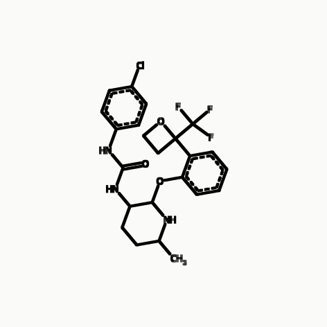 CC1CCC(NC(=O)Nc2ccc(Cl)cc2)C(Oc2ccccc2C2(C(F)(F)F)CCO2)N1